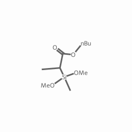 CCCCOC(=O)C(C)[Si](C)(OC)OC